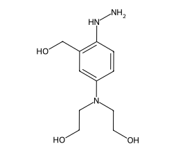 NNc1ccc(N(CCO)CCO)cc1CO